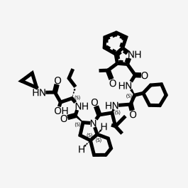 CCC[C@H](NC(=O)[C@@H]1C[C@@H]2CCCC[C@@H]2N1C(=O)[C@@H](NC(=O)[C@@H](NC(=O)c1[nH]c2ccccc2c1C(C)=O)C1CCCCC1)C(C)(C)C)C(O)C(=O)NC1CC1